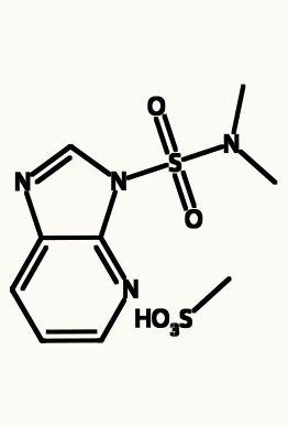 CN(C)S(=O)(=O)n1cnc2cccnc21.CS(=O)(=O)O